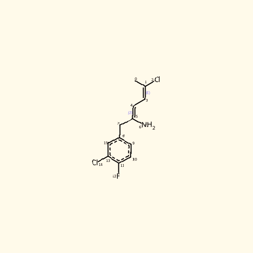 C/C(Cl)=C\C=C(/N)Cc1ccc(F)c(Cl)c1